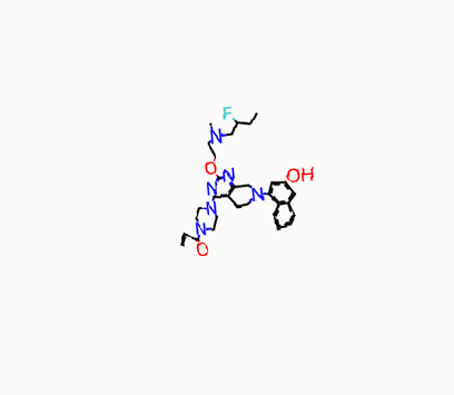 C=CC(=O)N1CCN(c2nc(OCCN(C)CC(F)CC)nc3c2CCN(c2cc(O)cc4ccccc24)C3)CC1